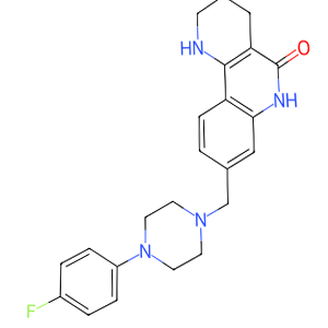 O=c1[nH]c2cc(CN3CCN(c4ccc(F)cc4)CC3)ccc2c2c1CCCN2